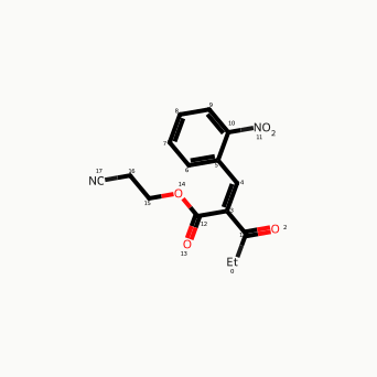 CCC(=O)C(=Cc1ccccc1[N+](=O)[O-])C(=O)OCCC#N